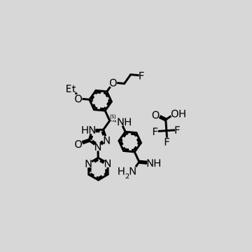 CCOc1cc(OCCF)cc([C@H](Nc2ccc(C(=N)N)cc2)c2nn(-c3ncccn3)c(=O)[nH]2)c1.O=C(O)C(F)(F)F